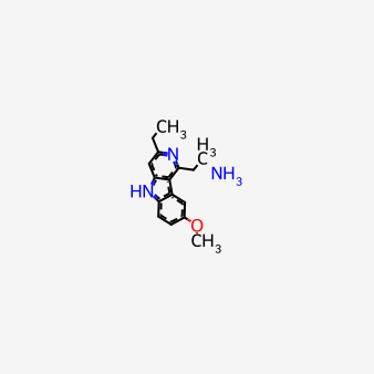 CCc1cc2[nH]c3ccc(OC)cc3c2c(CC)n1.N